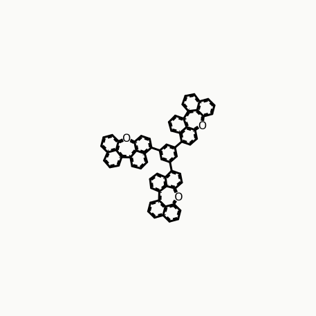 c1cc2cccc3c4cccc5c(-c6cc(-c7ccc8oc9cccc%10cccc(c%11cccc7c8%11)c%109)cc(-c7ccc8oc9cccc%10cccc(c%11cccc7c8%11)c%109)c6)ccc(oc(c1)c23)c54